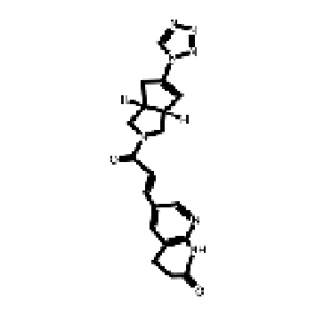 O=C1CCc2cc(/C=C/C(=O)N3C[C@@H]4CC(n5cnnn5)=C[C@@H]4C3)cnc2N1